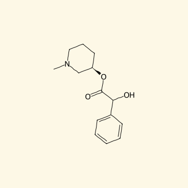 CN1CCC[C@@H](OC(=O)C(O)c2ccccc2)C1